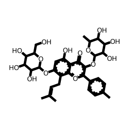 CC(C)=CCc1c(OC2OC(CO)C(O)C(O)C2O)cc(O)c2c(=O)c(OC3OC(C)C(O)C(O)C3O)c(-c3ccc(C)cc3)oc12